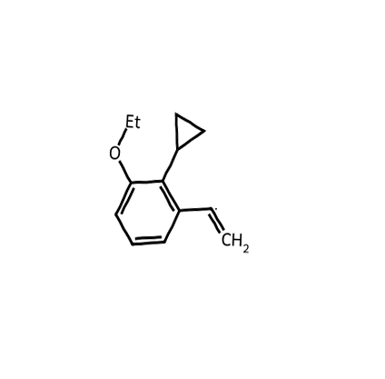 C=[C]c1cccc(OCC)c1C1CC1